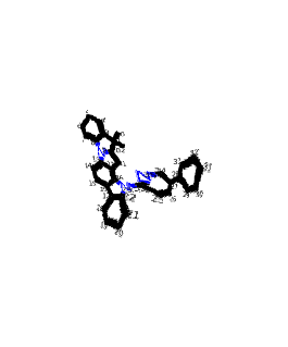 CC1(C)c2ccccc2-n2c1cc1c2ccc2c3ccccc3n(-c3ccc(-c4ccccc4)cn3)c21